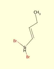 CCC=C[SiH](Br)Br